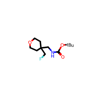 CC(C)(C)OC(=O)NCC1(CF)CCOCC1